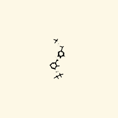 Cc1c(B2OC(C)(C)C(C)(C)O2)cccc1-c1nc2cc(C(C)N[S+]([O-])C(C)(C)C)cc(Cl)c2o1